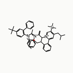 C=C(C1C(CCC(C)=CC)c2ccccc2-c2cc(CC(C)C)c([Si](C)(C)C)c[n+]21)[n+]1c(C)n(-c2ccc(C(C)(C)C)cc2-c2ccccc2)c2ccccc21